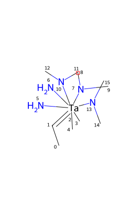 C[CH]=[Ta]([CH3])([CH3])([NH2])([NH2])([N](C)C)([N](C)C)[N](C)C